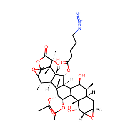 CC(=O)O[C@H]1C2C([C@@H](O)[C@@H](C)[C@H]3C[C@@H]4O[C@@H]4[C@H](O)[C@]23C)[C@@H]2[C@@H](OC(=O)CCCCN=[N+]=[N-])[C@@H]3[C@H]([C@H](C)[C@H]4O[C@]45OC(=O)[C@@](C)(O)[C@]35C)[C@@]2(C)[C@H]1OC(C)=O